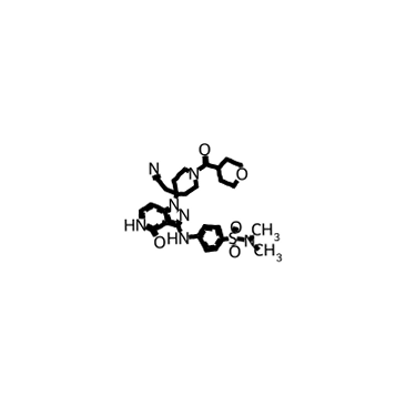 CN(C)S(=O)(=O)c1ccc(Nc2nn(C3(CC#N)CCN(C(=O)C4CCOCC4)CC3)c3cc[nH]c(=O)c23)cc1